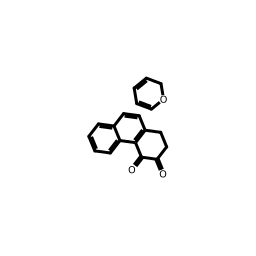 C1=CCOC=C1.O=C1CCc2ccc3ccccc3c2C1=O